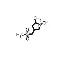 CC1CC(CS(C)(=O)=O)CN1C